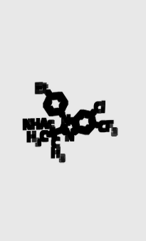 [CH2]Cc1ccc(-n2c(C(C)(C)NC(C)=O)nc3cc(C(F)(F)F)c(Cl)cc32)cc1